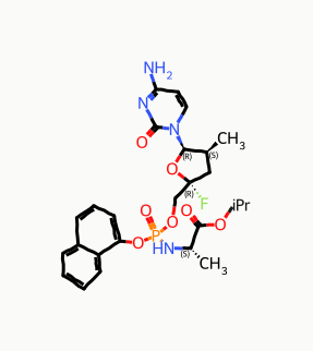 CC(C)OC(=O)[C@H](C)NP(=O)(OC[C@]1(F)C[C@H](C)[C@H](n2ccc(N)nc2=O)O1)Oc1cccc2ccccc12